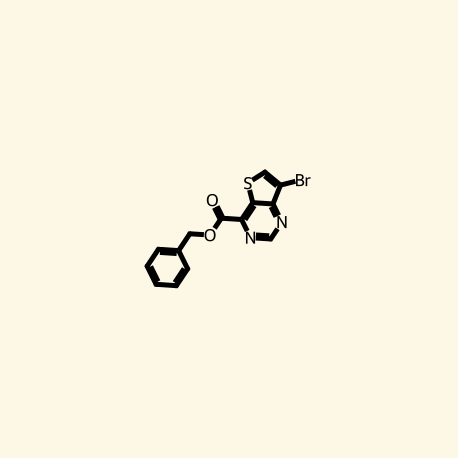 O=C(OCc1ccccc1)c1ncnc2c(Br)csc12